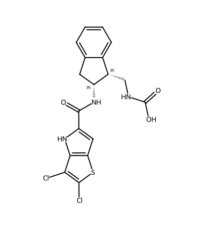 O=C(O)NC[C@H]1c2ccccc2C[C@H]1NC(=O)c1cc2sc(Cl)c(Cl)c2[nH]1